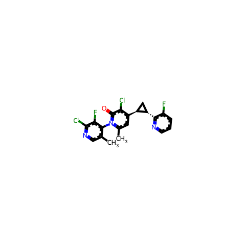 Cc1cnc(Cl)c(F)c1-n1c(C)cc([C@H]2C[C@@H]2c2ncccc2F)c(Cl)c1=O